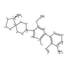 C=Cc1c(-c2nc(CO)c(N3CCC4(CCC[C@H]4N)CC3)nc2C)ccnc1N